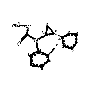 CC(C)(C)OC(=O)N(c1ccccc1I)C1C[C@@H]1c1ccccc1